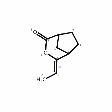 C/C=C1\OC(=O)C2CCC1C2